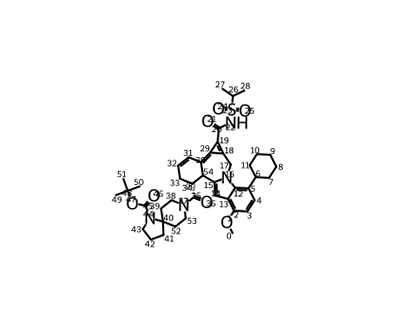 COc1ccc(C2CCCCC2)c2c1cc1n2CC2=C(C(=O)NS(=O)(=O)C(C)C)C2=C2C=CC[C@@H](C(=O)N3CCC4(CCCN4C(=O)OC(C)(C)C)CC3)C21